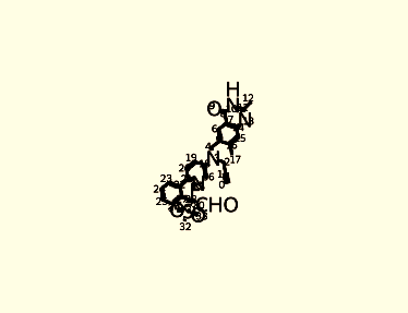 C#CCN(Cc1cc2c(=O)[nH]c(C)nc2cc1C)c1ccc(-c2ccccc2C(F)(C=O)S(C)(=O)=O)nc1